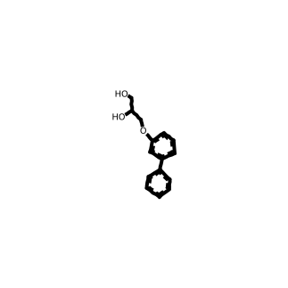 OCC(O)COc1cccc(-c2ccccc2)c1